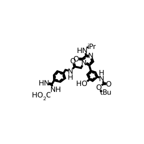 CC(C)Nc1ncc(-c2cc(O)cc(NC(=O)OC(C)(C)C)c2)n(CC(=O)NCc2ccc(C(=N)NC(=O)O)cc2)c1=O